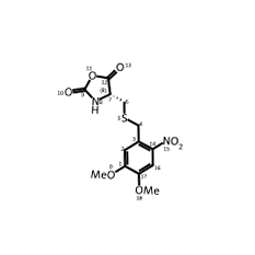 COc1cc(CSC[C@@H]2NC(=O)OC2=O)c([N+](=O)[O-])cc1OC